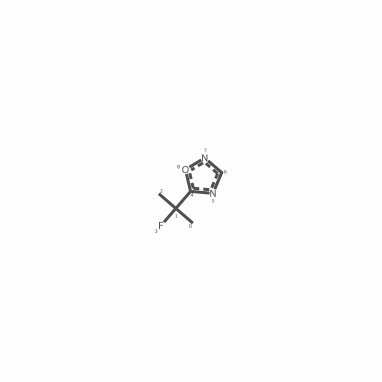 CC(C)(F)c1ncno1